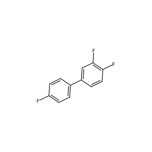 Fc1ccc(-c2ccc(F)c(F)c2)cc1